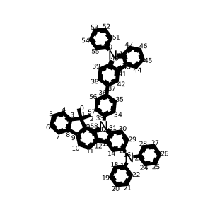 CC1(C)c2ccccc2-c2ccc3c4cc(N(c5ccccc5)c5ccccc5)ccc4n(-c4ccc(-c5ccc6c(c5)c5ccccc5n6-c5ccccc5)cc4)c3c21